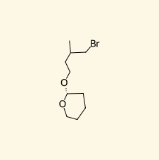 CC(CBr)CCO[C@@H]1CCCCO1